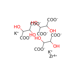 O=C([O-])C(O)C(O)C(=O)[O-].O=C([O-])C(O)C(O)C(=O)[O-].O=C([O-])C(O)C(O)C(=O)[O-].[K+].[K+].[Zr+4]